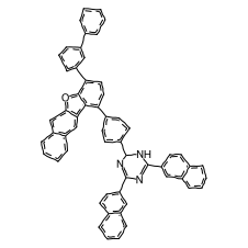 c1ccc(-c2cccc(-c3ccc(-c4ccc(C5N=C(c6ccc7ccccc7c6)N=C(c6ccc7ccccc7c6)N5)cc4)c4c3oc3cc5ccccc5cc34)c2)cc1